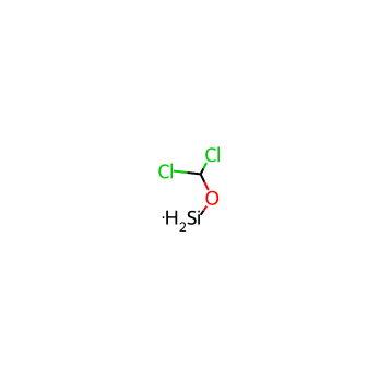 [SiH2]OC(Cl)Cl